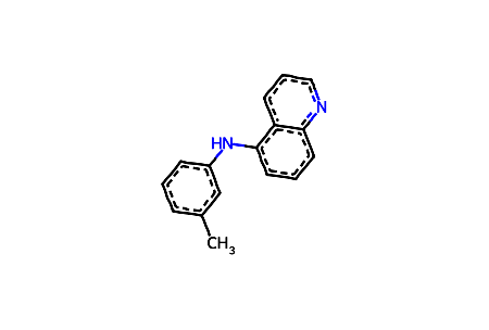 Cc1cccc(Nc2cccc3ncccc23)c1